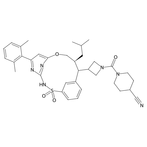 Cc1cccc(C)c1-c1cc2nc(n1)NS(=O)(=O)c1cccc(c1)C(C1CN(C(=O)N3CCC(C#N)CC3)C1)[C@H](CC(C)C)CO2